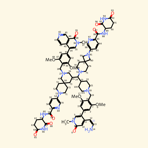 COc1cc(-c2cn(C)c(=O)cc2/C=C\N)cc(OC)c1CN1CCC(C(C2CN(Cc3c(OC)cc(-c4cn(C)c(=O)c5cnccc45)cc3OC)CC3(CCN(c4ccc(C(=O)NC5CCC(=O)NC5=O)nc4)CC3)C2)N2CCC3(CC2)CN(c2ccc(C(=O)NC4CCC(=O)NC4=O)nc2)C3)CC1